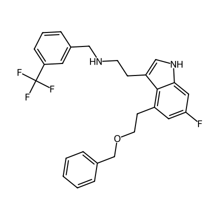 Fc1cc(CCOCc2ccccc2)c2c(CCNCc3cccc(C(F)(F)F)c3)c[nH]c2c1